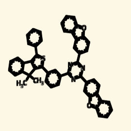 CC1(C)c2ccccc2-c2c(-c3ccccc3)sc(-c3cccc(-c4nc(-c5ccc6c(c5)oc5ccccc56)nc(-c5ccc6oc7ccccc7c6c5)n4)c3)c21